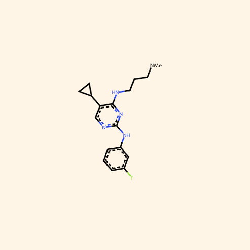 CNCCCNc1nc(Nc2cccc(F)c2)ncc1C1CC1